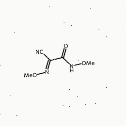 [CH2]ONC(=O)C(C#N)=NOC